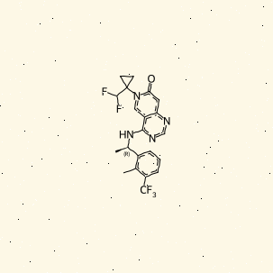 Cc1c([C@@H](C)Nc2ncnc3cc(=O)n(C4(C(F)F)CC4)cc23)cccc1C(F)(F)F